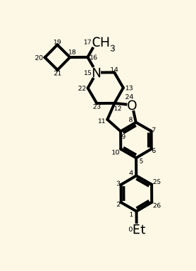 CCc1ccc(-c2ccc3c(c2)CC2(CCN(C(C)C4CCC4)CC2)O3)cc1